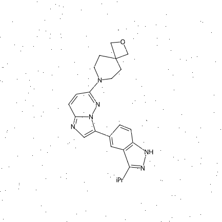 CC(C)c1n[nH]c2ccc(-c3cnc4ccc(N5CCC6(CC5)COC6)nn34)cc12